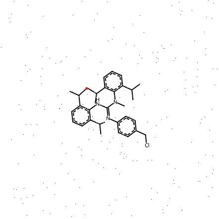 CC(C)c1cccc(C(C)C)c1NC(=Nc1ccc(CCl)cc1)N(C)c1c(C(C)C)cccc1C(C)C